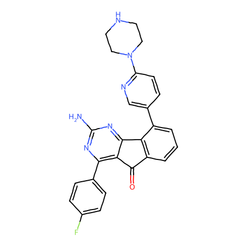 Nc1nc(-c2ccc(F)cc2)c2c(n1)-c1c(cccc1-c1ccc(N3CCNCC3)nc1)C2=O